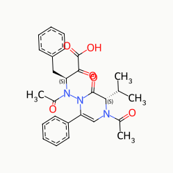 CC(=O)N1C=C(c2ccccc2)N(N(C(C)=O)[C@@H](Cc2ccccc2)C(=O)C(=O)O)C(=O)[C@@H]1C(C)C